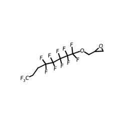 FC(F)(F)CCC(F)(F)C(F)(F)C(F)(F)C(F)(F)C(F)(F)OCC1CO1